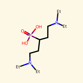 CCN(CC)CCC(CCN(CC)CC)P(=O)(O)O